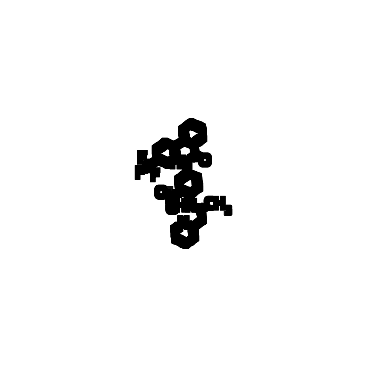 CC(Cc1ccccn1)Nc1ccc(NC(=O)c2ccccc2-c2ccc(C(F)(F)F)cc2)cc1[N+](=O)[O-]